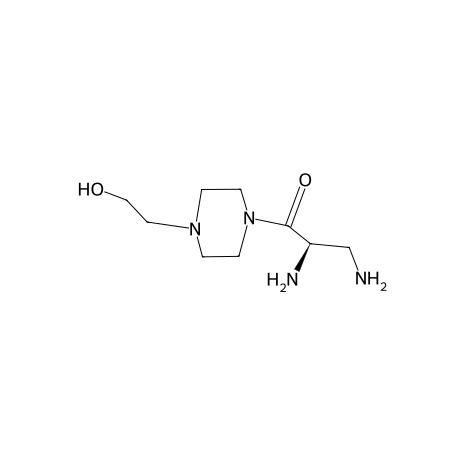 NC[C@@H](N)C(=O)N1CCN(CCO)CC1